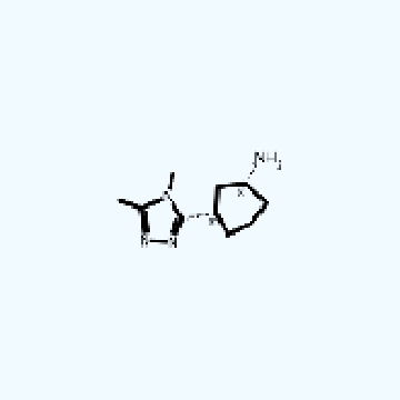 Cc1nnc([C@H]2CCC[C@@H](N)C2)n1C